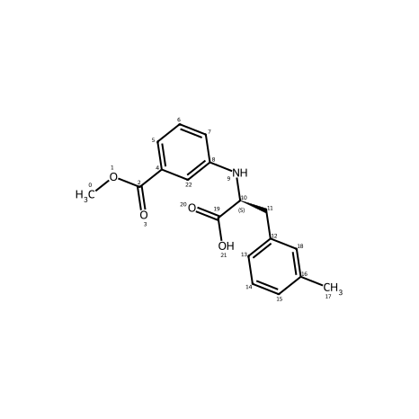 COC(=O)c1cccc(N[C@@H](Cc2cccc(C)c2)C(=O)O)c1